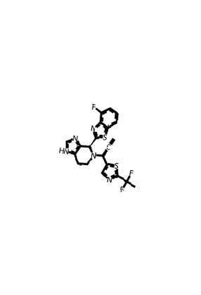 C=C=C(c1cnc(C(C)(F)F)s1)N1CCc2[nH]cnc2[C@H]1c1nc2c(F)cccc2s1